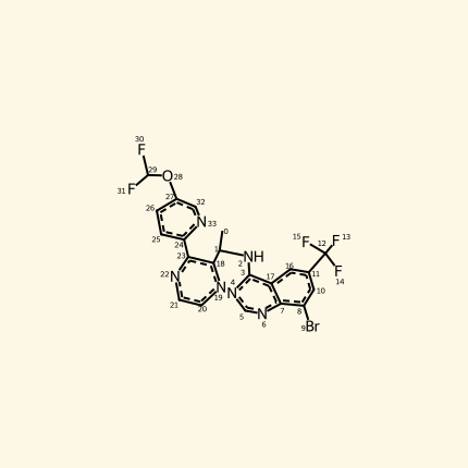 CC(Nc1ncnc2c(Br)cc(C(F)(F)F)cc12)c1nccnc1-c1ccc(OC(F)F)cn1